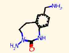 NCc1ccc2c(c1)CCN(N)C(=O)N2